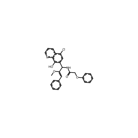 COC(=Cc1ccccc1)C(NC(=O)COc1ccccc1)c1cc(Cl)c2cccnc2c1O